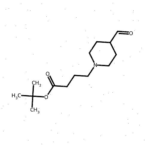 CC(C)(C)OC(=O)CCCN1CCC(C=O)CC1